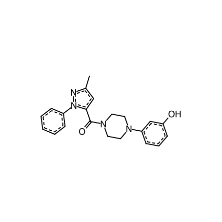 Cc1cc(C(=O)N2CCN(c3cccc(O)c3)CC2)n(-c2ccccc2)n1